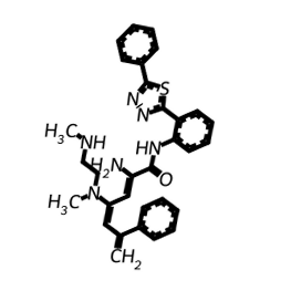 C=C(/C=C(\C=C(/N)C(=O)Nc1ccccc1-c1nnc(-c2ccccc2)s1)N(C)CCNC)c1ccccc1